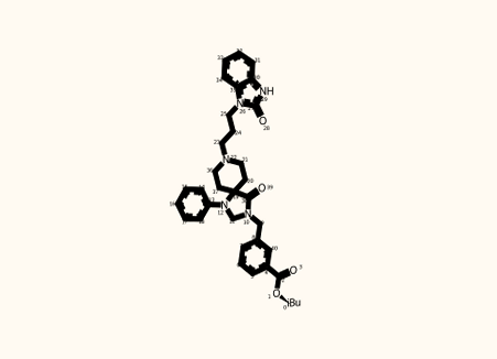 CC[C@H](C)OC(=O)c1cccc(CN2CN(c3ccccc3)C3(CCN(CCCn4c(=O)[nH]c5ccccc54)CC3)C2=O)c1